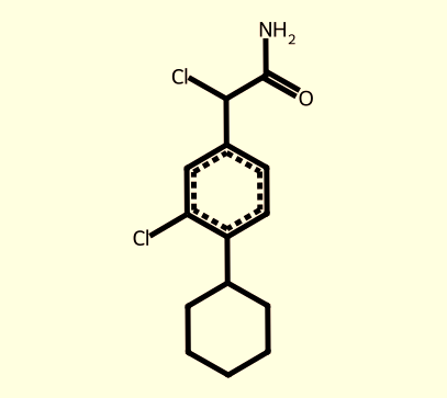 NC(=O)C(Cl)c1ccc(C2CCCCC2)c(Cl)c1